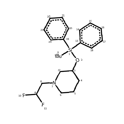 CC(C)(C)[Si](OC1CCCN(CC(F)F)C1)(c1ccccc1)c1ccccc1